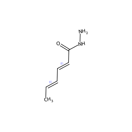 C/C=C/C=C/C(=O)NN